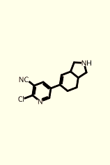 N#Cc1cc(C2=CC3CNCC3CC2)cnc1Cl